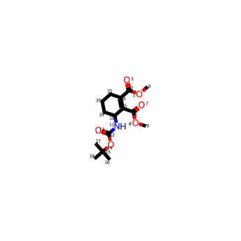 COC(=O)C1=C(C(=O)OC)C(NC(=O)OC(C)(C)C)CCC1